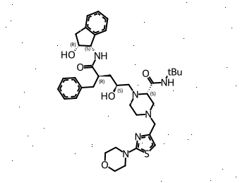 CC(C)(C)NC(=O)[C@@H]1CN(Cc2csc(N3CCOCC3)n2)CCN1C[C@@H](O)C[C@@H](Cc1ccccc1)C(=O)N[C@H]1c2ccccc2C[C@H]1O